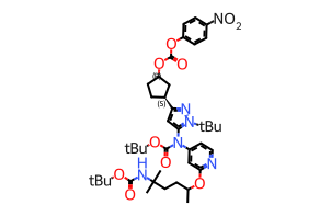 CC(CCC(C)(C)NC(=O)OC(C)(C)C)Oc1cc(N(C(=O)OC(C)(C)C)c2cc([C@H]3CC[C@@H](OC(=O)Oc4ccc([N+](=O)[O-])cc4)C3)nn2C(C)(C)C)ccn1